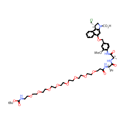 COc1cc(COc2cc3c(c4ccccc24)[C@H](CCl)CN3C(=O)O)ccc1NC(=O)[C@H](C)NC(=O)[C@@H](NC(=O)CCOCCOCCOCCOCCOCCOCCOCCOCCNC(=O)OC(C)(C)C)C(C)C